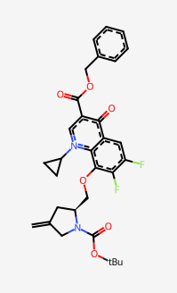 C=C1C[C@@H](COc2c(F)c(F)cc3c(=O)c(C(=O)OCc4ccccc4)cn(C4CC4)c23)N(C(=O)OC(C)(C)C)C1